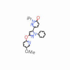 COc1ccc(Oc2cc(-c3ccc(=O)n(C(C)C)n3)n(-c3ccccc3)n2)nc1